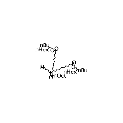 CCCCCCCCC(=O)N(CCCCN(C)C)C(CCCCCCCCC(=O)OCC(CCCC)CCCCCC)CCCCCCCCC(=O)OCC(CCCC)CCCCCC